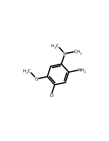 COc1cc(N(C)C)c(N)cc1Cl